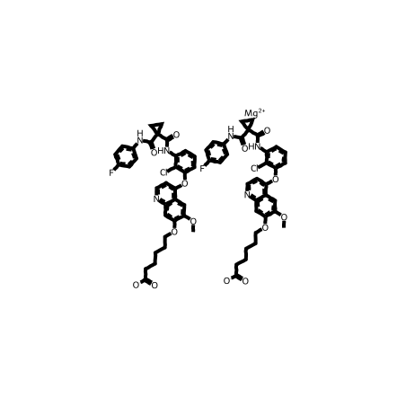 COc1cc2c(Oc3cccc(NC(=O)C4(C(=O)Nc5ccc(F)cc5)CC4)c3Cl)ccnc2cc1OCCCCCC(=O)[O-].COc1cc2c(Oc3cccc(NC(=O)C4(C(=O)Nc5ccc(F)cc5)CC4)c3Cl)ccnc2cc1OCCCCCC(=O)[O-].[Mg+2]